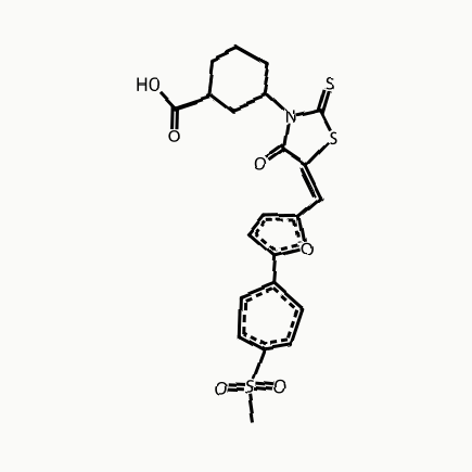 CS(=O)(=O)c1ccc(-c2ccc(/C=C3/SC(=S)N(C4CCCC(C(=O)O)C4)C3=O)o2)cc1